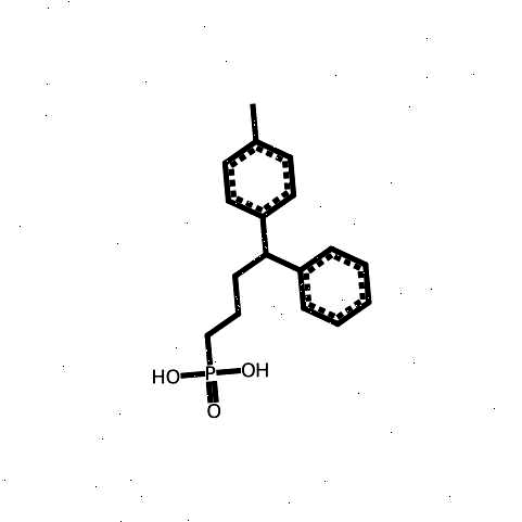 Cc1ccc(C(CCCP(=O)(O)O)c2ccccc2)cc1